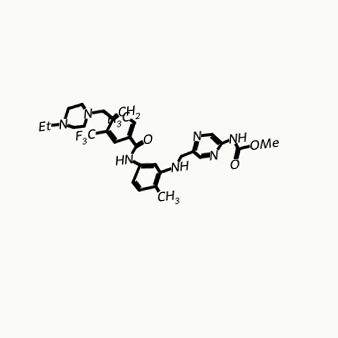 C=C(CN1CCN(CC)CC1)/C(=C\C(=C/C)C(=O)Nc1ccc(C)c(NCc2cnc(NC(=O)OC)cn2)c1)C(F)(F)F